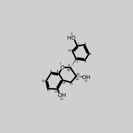 Oc1cccc([C@H]2Oc3cccc(O)c3C[C@H]2O)c1